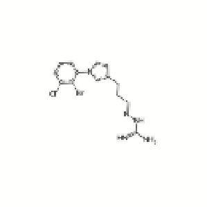 N=C(N)NN=CCCc1ccn(-c2cccc(Cl)c2Br)c1